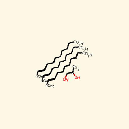 CC(O)CO.CCCCCCCCC=CCCCCCCCC(=O)O.CCCCCCCCC=CCCCCCCCC(=O)O.CCCCCCCCC=CCCCCCCCC(=O)O